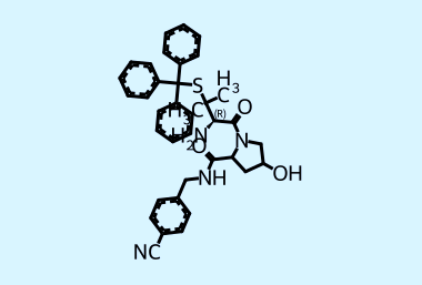 CC(C)(SC(c1ccccc1)(c1ccccc1)c1ccccc1)[C@H](N)C(=O)N1CC(O)CC1C(=O)NCc1ccc(C#N)cc1